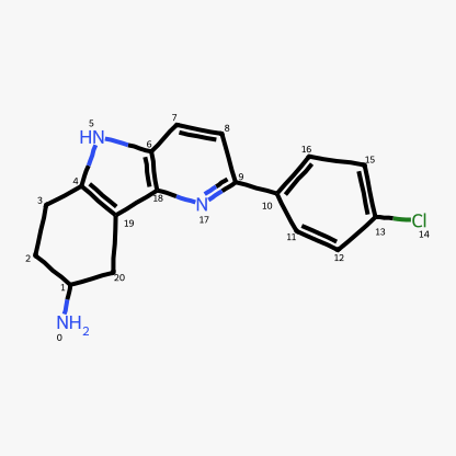 NC1CCc2[nH]c3ccc(-c4ccc(Cl)cc4)nc3c2C1